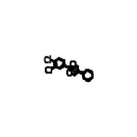 Clc1ccc(C23OCC(C4CCCCC4)(CO2)CO3)cc1Cl